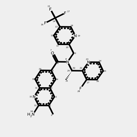 Cc1cc2cc(C(=O)N(Cc3ccc(C(F)(F)F)cn3)[C@@H](C)c3ncccc3F)ccc2nc1N